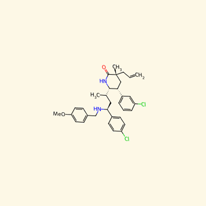 C=CC[C@]1(C)C[C@H](c2cccc(Cl)c2)[C@H](C(C)C[C@H](NCc2ccc(OC)cc2)c2ccc(Cl)cc2)NC1=O